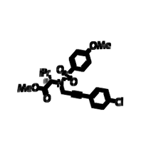 COC(=O)[C@H](C(C)C)N(CC#Cc1ccc(Cl)cc1)S(=O)(=O)c1ccc(OC)cc1